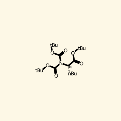 CCCC[C@@H](C(=O)OC(C)(C)C)N(C(=O)OC(C)(C)C)C(=O)OC(C)(C)C